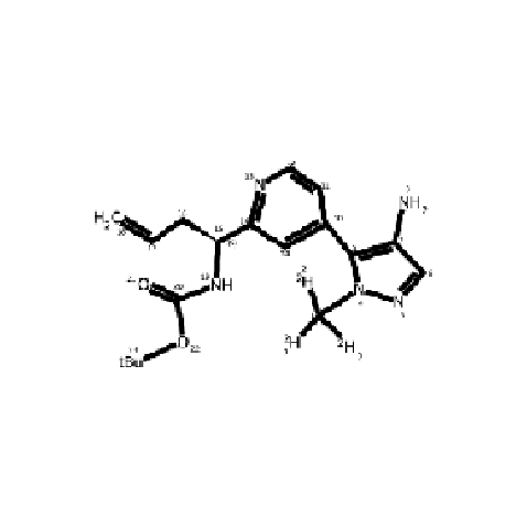 [2H]C([2H])([2H])n1ncc(N)c1-c1ccnc([C@H](CC=C)NC(=O)OC(C)(C)C)c1